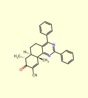 C[C@H]1C(=O)C(C#N)=C[C@@]2(C)c3nc(-c4ccccc4)nc(-c4ccccc4)c3CC[C@H]12